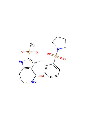 CS(=O)(=O)c1[nH]c2c(c1Cc1ccccc1S(=O)(=O)N1CCCC1)C(=O)NCC2